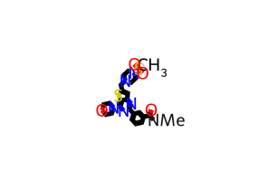 CNC(=O)c1cccc(-c2nc(N3CCOCC3)c3sc(CN4CCN(S(C)(=O)=O)CC4)cc3n2)c1